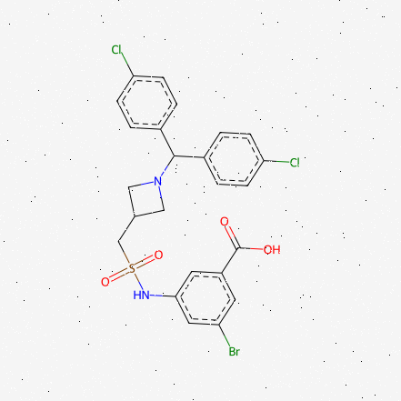 O=C(O)c1cc(Br)cc(NS(=O)(=O)CC2CN(C(c3ccc(Cl)cc3)c3ccc(Cl)cc3)C2)c1